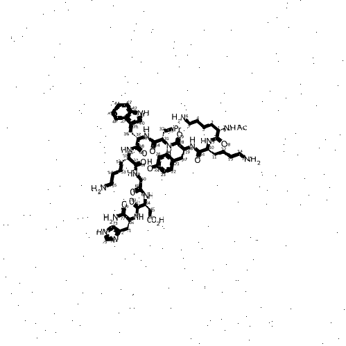 CC(=O)N[C@@H](CCCCN)C(=O)N[C@@H](CCCCN)C(=O)N[C@@H](Cc1ccc(O)cc1)C(=O)N[C@@H](CC(C)C)C(=O)N[C@@H](Cc1c[nH]c2ccccc12)C(=O)N[C@@H](CCCCN)C(=O)NCC(=O)N[C@@H](CC(=O)O)C(=O)N[C@@H](Cc1c[nH]cn1)C(N)=O